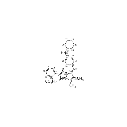 CC1=C(C)c2nc(-c3ccccc3C(=O)O)nn2C1=Nc1ccc(NC2CCCCC2)cc1